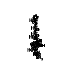 CC(C)(COP(=O)(O)OP(=O)(O)OC[C@H]1O[C@@H](n2cnc3c(N)ncnc32)[C@H](O)[C@@H]1OP(=O)(O)O)[C@@H](O)C(=O)NCCC(=O)NCCSC(=O)CC1(O)CCCCC1